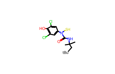 CC(C)(C)CC(C)(C)NC(=O)N(S)c1cc(Cl)c(O)c(Cl)c1